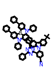 CC(C)(C)c1ccc2c(c1)c1cc(-c3cc4c5c(c3)N(c3ccccc3)c3ccc(-c6ccccc6)cc3B5c3cc(-c5ccccc5)ccc3N4c3ccccc3)ccc1n2-c1ccc(C#N)cc1-c1nc(-c2ccccc2)nc(-c2ccccc2)n1